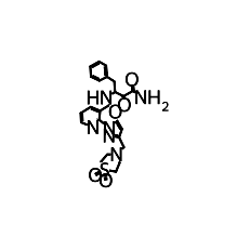 NC(=O)C(=O)C(Cc1ccccc1)NC(=O)c1cccnc1-n1ccc(CN2CCS(=O)(=O)CC2)n1